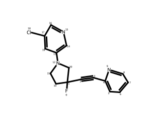 FC1(C#Cc2ccccn2)CCN(c2cncc(Cl)c2)C1